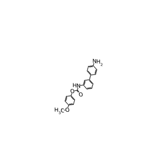 COc1ccc(OC(=O)Nc2cccc(-c3ccc(N)cc3)c2)cc1